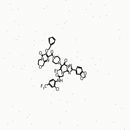 CCc1c(N2CCN(C(=O)c3nc4n(c(=O)c3OCc3ccccc3)CCOC4)CC2)c(=O)n2nc(-c3ccc4c(c3)OCO4)nc2n1CC(=O)Nc1ccc(C(F)(F)F)cc1Cl